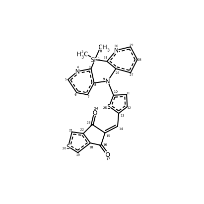 C[Si]1(C)c2ncccc2N(c2ccc(C=C3C(=O)c4cscc4C3=O)s2)c2cccnc21